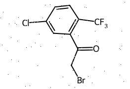 O=C(CBr)c1cc(Cl)ccc1C(F)(F)F